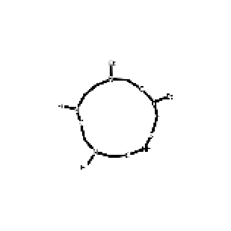 CCN1CCNCCN(CC)CCN(CC)CCN(CC)CC1